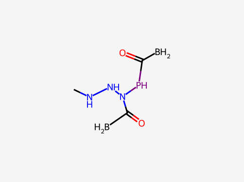 BC(=O)PN(NNC)C(B)=O